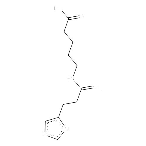 C=C(CCc1cnc[nH]1)NCCCCC(=O)O